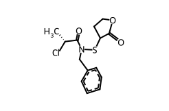 C[C@@H](Cl)C(=O)N(Cc1ccccc1)SC1CCOC1=O